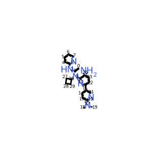 C=C(Nc1ccccn1)N(c1nc(-c2ccc(N(C)C)nc2)ccc1N)C1CCC1